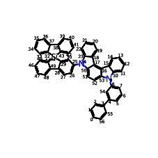 c1ccc(-c2cccc(-n3c4ccccc4c4c5c6ccccc6n(-c6ccc7c(c6)[Si]6(c8ccccc8-c8ccccc86)c6ccccc6-7)c5ccc43)c2)cc1